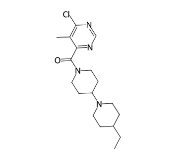 CCC1CCN(C2CCN(C(=O)c3ncnc(Cl)c3C)CC2)CC1